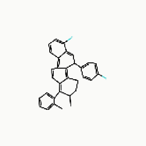 Cc1ccccc1C1=c2ccc3c(c2CCC1C)C(c1ccc(F)cc1)C=c1c(F)cccc1=3